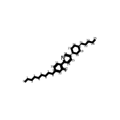 CCCCCCCCCc1ccc(-c2ccc([C@H]3CC[C@H](CCCCC)CC3)cn2)c(F)c1